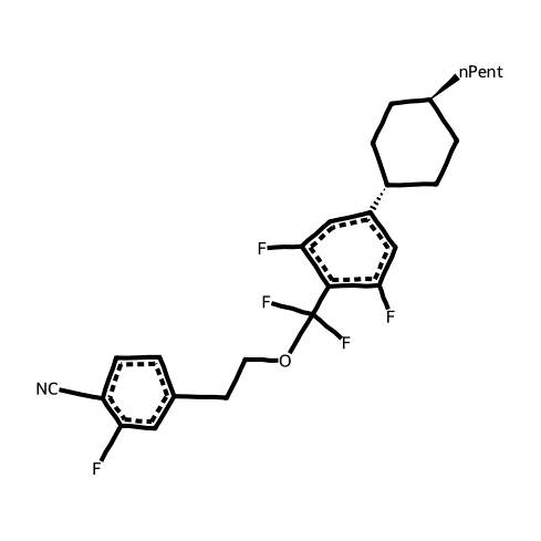 CCCCC[C@H]1CC[C@H](c2cc(F)c(C(F)(F)OCCc3ccc(C#N)c(F)c3)c(F)c2)CC1